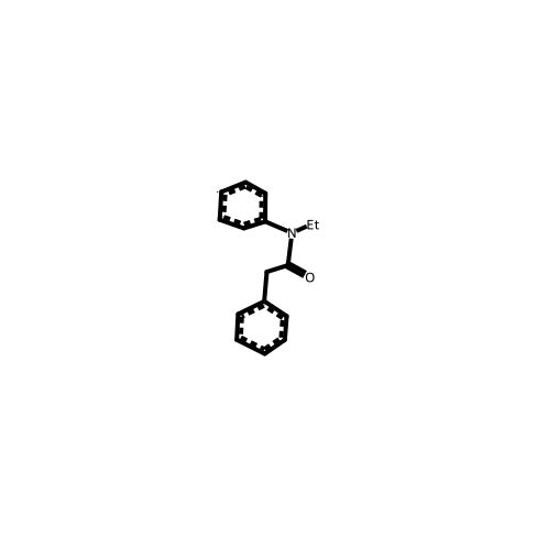 CCN(C(=O)Cc1ccccc1)c1cc[c]cc1